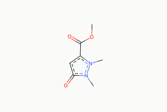 COC(=O)c1cc(=O)n(C)n1C